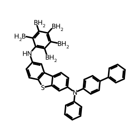 Bc1c(B)c(B)c(Nc2ccc3sc4cc(N(c5ccccc5)c5ccc(-c6ccccc6)cc5)ccc4c3c2)c(B)c1B